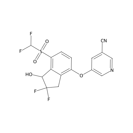 N#Cc1cncc(Oc2ccc(S(=O)(=O)C(F)F)c3c2CC(F)(F)C3O)c1